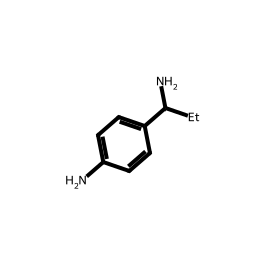 CC[C](N)c1ccc(N)cc1